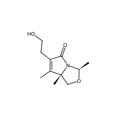 CC1=C(CCO)C(=O)N2[C@@H](C)OC[C@]12C